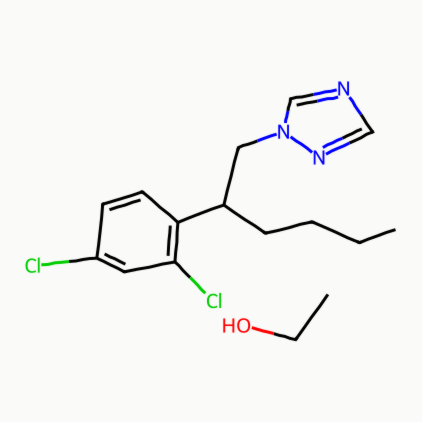 CCCCC(Cn1cncn1)c1ccc(Cl)cc1Cl.CCO